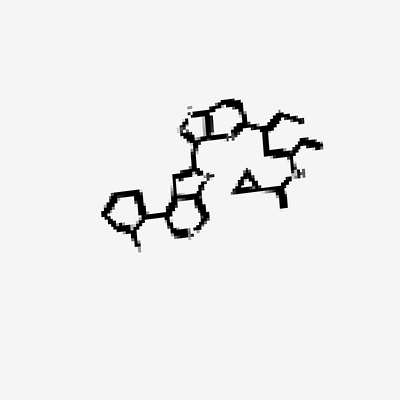 C=C/C(=C\C(=C/C)c1ccc2[nH]nc(-c3cc4c(-c5ccccc5F)cncc4[nH]3)c2n1)NC(=C)C1CC1